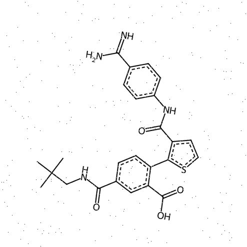 CC(C)(C)CNC(=O)c1ccc(-c2sccc2C(=O)Nc2ccc(C(=N)N)cc2)c(C(=O)O)c1